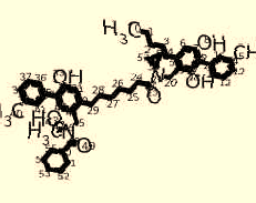 CCCCCc1cc(O)c(-c2cccc(C)c2)c(O)c1CN(C(=O)CCCCCCc1cc(O)c(-c2cccc(C)c2)c(O)c1CN(C)C(=O)C1CCCCC1)C1CC1